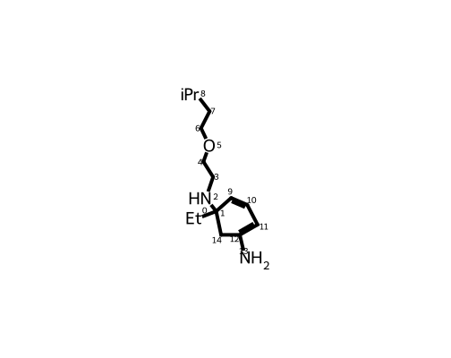 CCC1(NCCOCCC(C)C)C=CC=C(N)C1